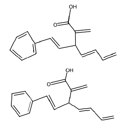 C=CC=CC(C=Cc1ccccc1)C(=C)C(=O)O.C=CC=CC(C=Cc1ccccc1)C(=C)C(=O)O